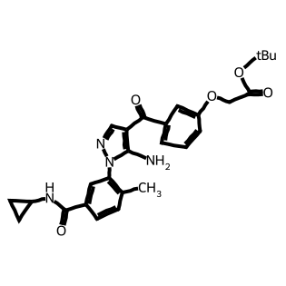 Cc1ccc(C(=O)NC2CC2)cc1-n1ncc(C(=O)c2cccc(OCC(=O)OC(C)(C)C)c2)c1N